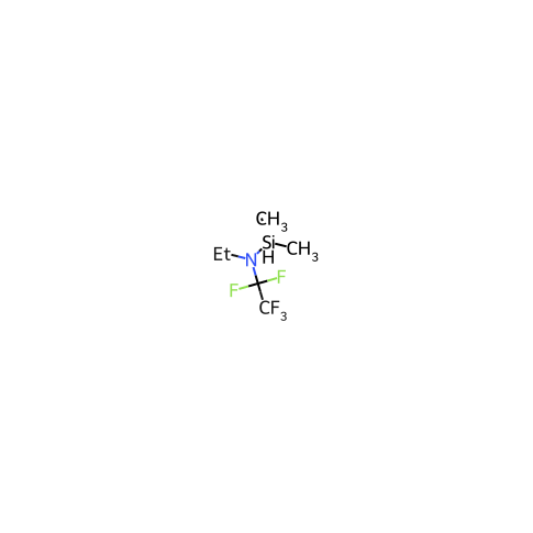 CCN([SiH](C)C)C(F)(F)C(F)(F)F